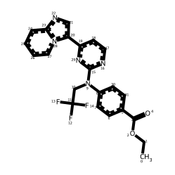 CCOC(=O)c1ccc(N(CC(F)(F)F)c2nccc(-c3cnc4ccccn34)n2)cc1